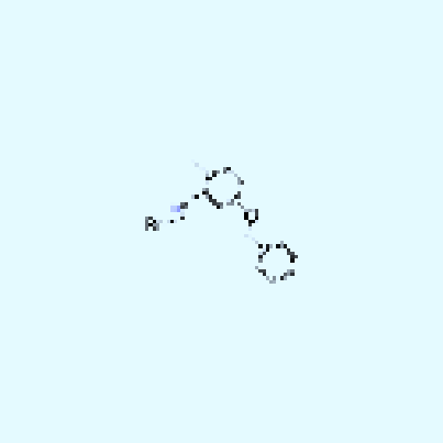 Cc1ccc(OCc2ccccc2)cc1/C=C/Br